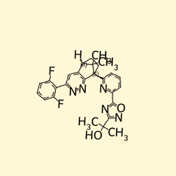 CC(C)(O)c1noc(-c2cccc([C@@]34CC[C@@H](c5cc(-c6c(F)cccc6F)nnc53)C4(C)C)n2)n1